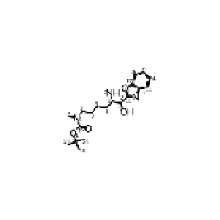 CN(CCCC[C@H](N)C(O)c1nc2ccccc2o1)C(=O)OC(C)(C)C